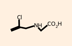 C=C(Cl)CNCC(=O)O